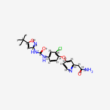 CC(C)(C)c1cc(NC(=O)Nc2ccc(Oc3ccnc(CC(N)=O)c3)c(Cl)c2)no1